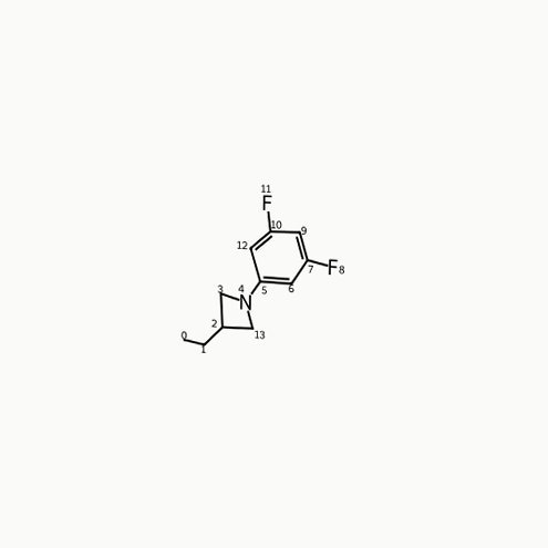 CCC1CN(c2cc(F)cc(F)c2)C1